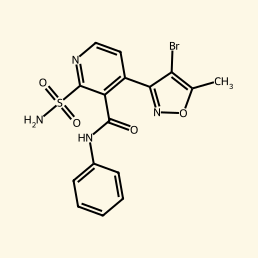 Cc1onc(-c2ccnc(S(N)(=O)=O)c2C(=O)Nc2ccccc2)c1Br